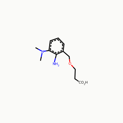 CN(C)c1cccc(COCCC(=O)O)c1N